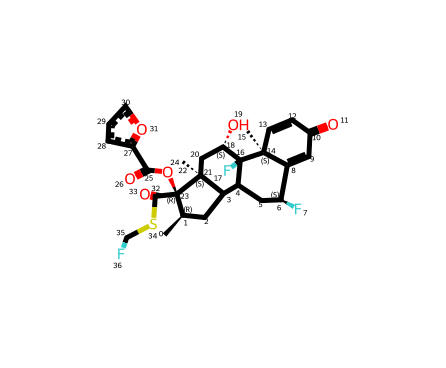 C[C@@H]1CC2C3C[C@H](F)C4=CC(=O)C=C[C@]4(C)C3(F)[C@@H](O)C[C@]2(C)[C@@]1(OC(=O)c1ccco1)C(=O)SCF